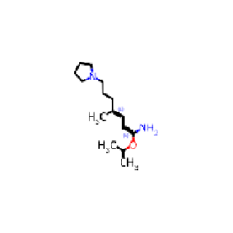 C/C(=C\C=C(/N)OC(C)C)CCCN1CCCC1